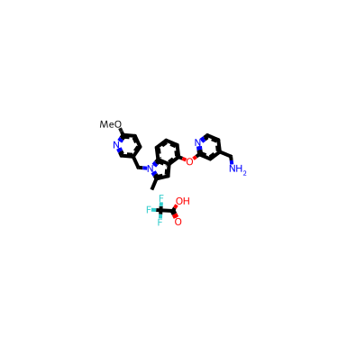 COc1ccc(Cn2c(C)cc3c(Oc4cc(CN)ccn4)cccc32)cn1.O=C(O)C(F)(F)F